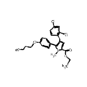 CCOC(=O)c1cc(-c2ccc(Cl)cc2Cl)c(-c2ccc(OCCCO)cc2)n1C